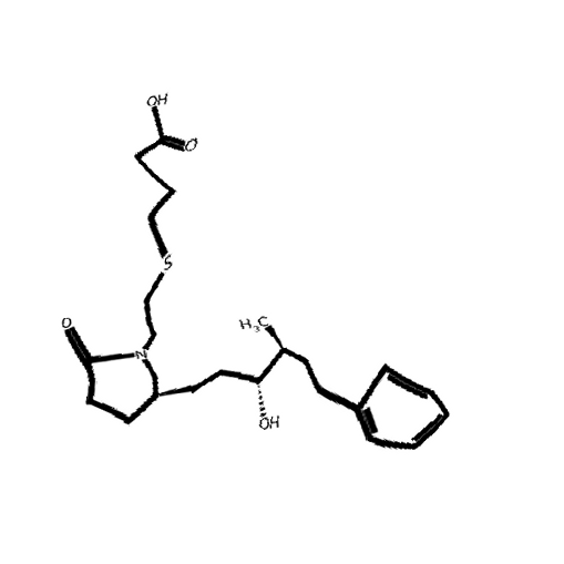 C[C@@H](CCc1ccccc1)[C@H](O)CC[C@H]1CCC(=O)N1CCSCCCC(=O)O